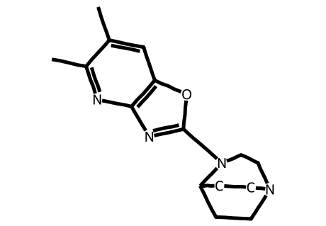 Cc1cc2oc(N3CCN4CCC3CC4)nc2nc1C